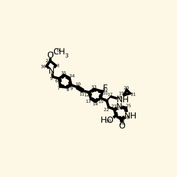 COC1CN(Cc2ccc(C#Cc3ccc([C@@H](CNC4CC4)Cc4nc[nH]c(=O)c4O)c(F)c3)cc2)C1